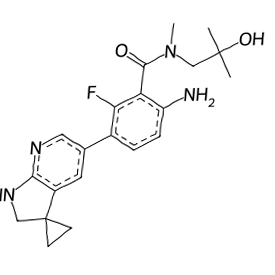 CN(CC(C)(C)O)C(=O)c1c(N)ccc(-c2cnc3c(c2)C2(CC2)CN3)c1F